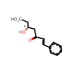 O=C(O)C[C@H](O)CC(=O)/C=C/c1ccccc1